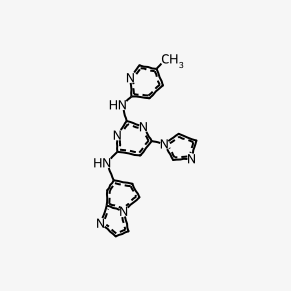 Cc1ccc(Nc2nc(Nc3ccn4ccnc4c3)cc(-n3ccnc3)n2)nc1